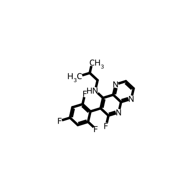 CC(C)CNc1c(-c2c(F)cc(F)cc2F)c(F)nc2nccnc12